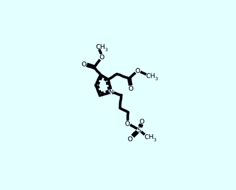 COC(=O)Cc1c(C(=O)OC)ccn1CCCOS(C)(=O)=O